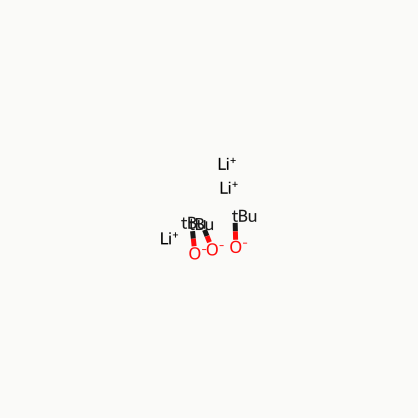 CC(C)(C)[O-].CC(C)(C)[O-].CC(C)(C)[O-].[Li+].[Li+].[Li+]